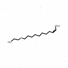 CCCCCCCC/C=C\CCCCCCC[CH]OCCO